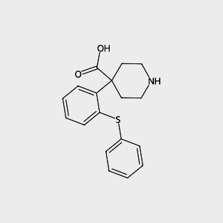 O=C(O)C1(c2ccccc2Sc2ccccc2)CCNCC1